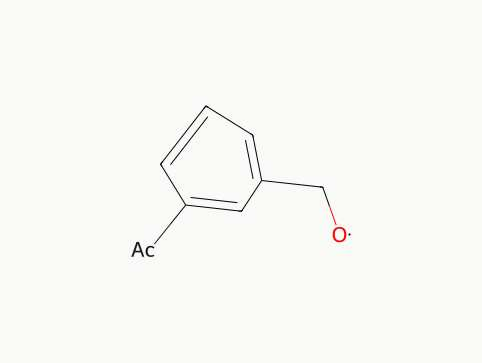 CC(=O)c1cccc(C[O])c1